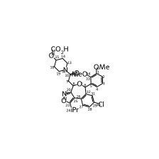 COc1cccc(C2OC(CC(=O)N3CCC(OC(=O)O)CC3)c3noc(C(C)C)c3-c3ccc(Cl)cc32)c1OC